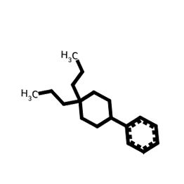 CCCC1(CCC)CCC(c2c[c]ccc2)CC1